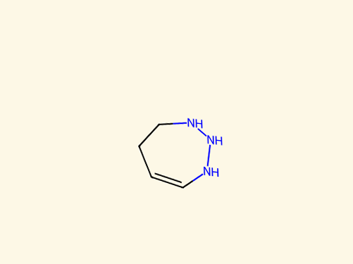 C1=CNNNCC1